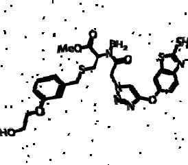 BN(C(=O)Cn1cc(Oc2ccc3nc(S)sc3c2)nn1)[C@@H](CSCc1cccc(OCCO)c1)C(=O)OC